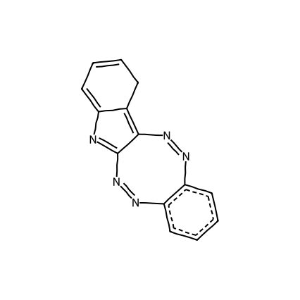 C1=CCC2=C3/N=N\c4ccccc4/N=N\C3=NC2=C1